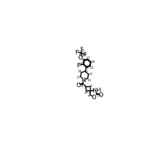 O=C1NC2(CO1)CC(C(=O)N1CCC(c3cccc(OC(F)(F)F)c3F)CC1)C2